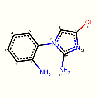 Nc1ccccc1-n1cc(O)nc1N